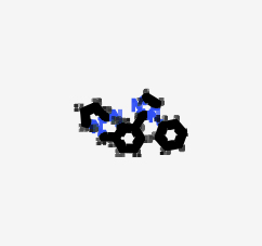 c1ccc(-n2ccnc2-c2cccc3cn4cccc4nc23)cc1